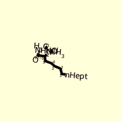 CCCCCCCCCCCCC(C(N)=O)N(C)C.Cl